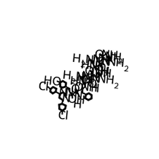 N=C(N)NC(NC(=O)C(NC(=N)N)NC(=O)C(NC(=N)N)NC(=O)C(NC(=N)N)NC(=O)C(NC(=O)C(O)N(Cc1ccc(O)cc1)c1nc(-c2ccc(Cl)cc2)cc(-c2ccc(Cl)cc2)n1)c1ccccc1)C(N)=O